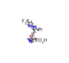 CC(C)c1nn(-c2ccc(C(F)(F)F)cn2)cc1CCCOc1c(CC(=O)O)cnn1C